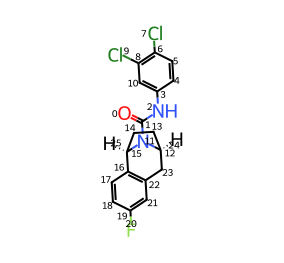 O=C(Nc1ccc(Cl)c(Cl)c1)N1[C@H]2CC[C@@H]1c1ccc(F)cc1C2